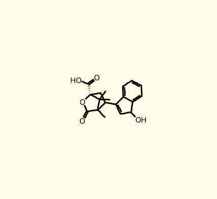 CC12C(=O)O[C@@](C(=O)O)(CC1C1=CC(O)c3ccccc31)C2(C)C